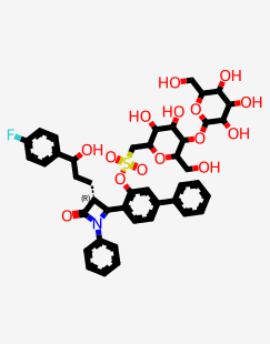 O=C1[C@H](CCC(O)c2ccc(F)cc2)C(c2ccc(-c3ccccc3)cc2OS(=O)(=O)CC2OC(CO)C(OC3OC(CO)C(O)C(O)C3O)C(O)C2O)N1c1ccccc1